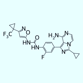 Nc1nccn2c(C3CC3)nc(-c3ccc(NC(=O)Nc4cc(C5(C(F)(F)F)CC5)no4)c(F)c3)c12